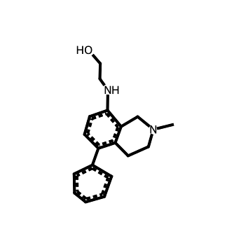 CN1CCc2c(-c3ccccc3)ccc(NCCO)c2C1